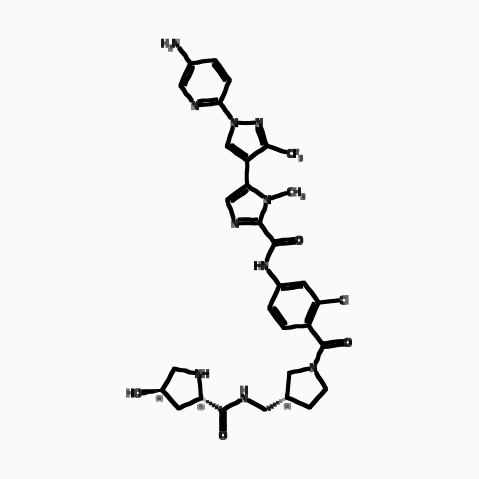 Cn1c(-c2cn(-c3ccc(N)cn3)nc2C(F)(F)F)cnc1C(=O)Nc1ccc(C(=O)N2CC[C@H](CNC(=O)[C@@H]3C[C@@H](O)CN3)C2)c(Cl)c1